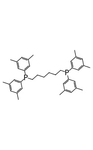 Cc1cc(C)cc(P(CCCCCCP(c2cc(C)cc(C)c2)c2cc(C)cc(C)c2)c2cc(C)cc(C)c2)c1